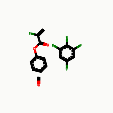 C=C(F)C(=O)Oc1ccccc1.C=O.Fc1cc(F)c(F)c(F)c1